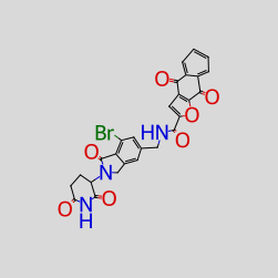 O=C1CCC(N2Cc3cc(CNC(=O)c4cc5c(o4)C(=O)c4ccccc4C5=O)cc(Br)c3C2=O)C(=O)N1